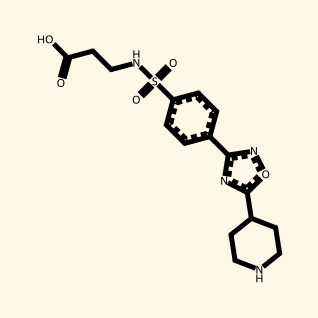 O=C(O)CCNS(=O)(=O)c1ccc(-c2noc(C3CCNCC3)n2)cc1